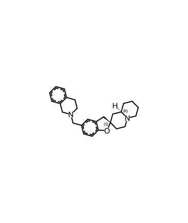 c1ccc2c(c1)CCN(Cc1ccc3c(c1)C[C@@]1(CCN4CCCC[C@@H]4C1)O3)C2